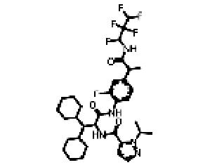 CC(C(=O)NC(F)C(F)(F)C(F)F)c1ccc(NC(=O)C(NC(=O)c2ccnn2C(C)C)C(C2CCCCC2)C2CCCCC2)c(F)c1